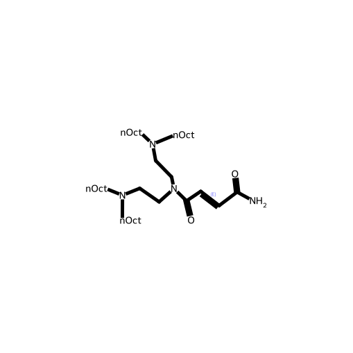 CCCCCCCCN(CCCCCCCC)CCN(CCN(CCCCCCCC)CCCCCCCC)C(=O)/C=C/C(N)=O